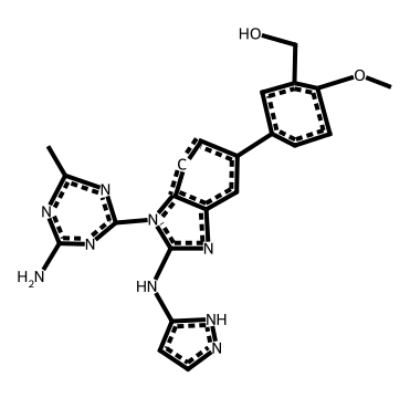 COc1ccc(-c2ccc3c(c2)nc(Nc2ccn[nH]2)n3-c2nc(C)nc(N)n2)cc1CO